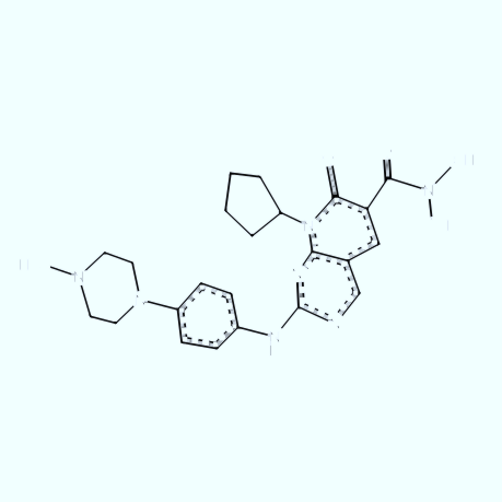 CN1CCN(c2ccc(Nc3ncc4cc(C(=O)N(C)C)c(=O)n(C5CCCC5)c4n3)cc2)CC1